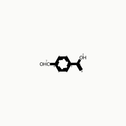 C=C(O)c1ccc(C=O)cc1